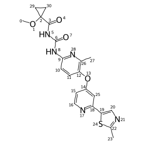 COC1(C(=O)NC(=O)Nc2ccc(Oc3ccnc(-c4cnc(C)s4)c3)c(C)n2)CC1